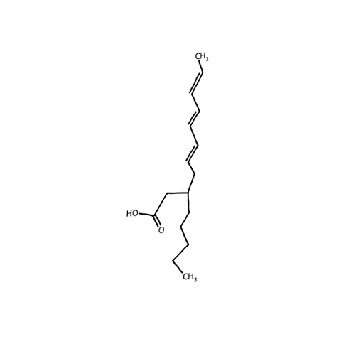 C/C=C/C=C/C=C/CC(CCCCC)CC(=O)O